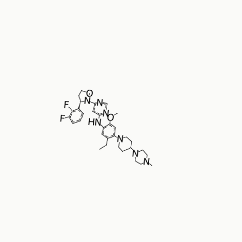 CCc1cc(Nc2cc(N3OCC[C@@H]3c3cccc(F)c3F)ncn2)c(OC)cc1N1CCC(N2CCN(C)CC2)CC1